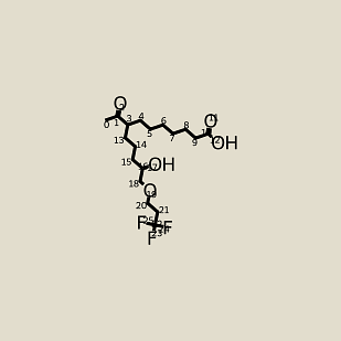 CC(=O)C(CCCCCCC(=O)O)CCCC(O)COCCC(F)(F)F